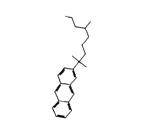 CC(CCO)CCCC(C)(C)c1ccc2cc3ccccc3cc2c1